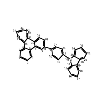 c1ccc2c(c1)c1cc(-c3ccc(-n4c5ccccc5c5ccccc54)cc3)ccc1c1nccnc21